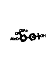 COC(=O)c1cc(C23CCC(C(C)(C)O)(CC2)CC3)ccc1OC